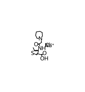 Cc1scc(C(=O)O)c1NC(=O)CN1CCCCCC1.[Cl-].[Na+]